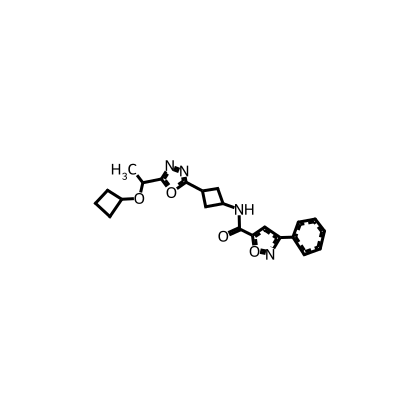 CC(OC1CCC1)c1nnc(C2CC(NC(=O)c3cc(-c4ccccc4)no3)C2)o1